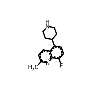 Cc1ccc2c(C3CCNCC3)ccc(F)c2n1